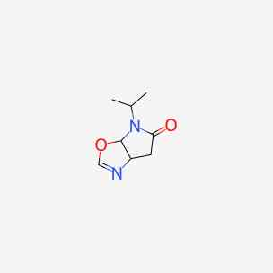 CC(C)N1C(=O)CC2N=COC21